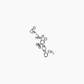 Cc1ccccc1N1CCN(c2cc(Cl)c(C(=O)NCCCN3CCCC3=O)cc2[N+](=O)[O-])CC1